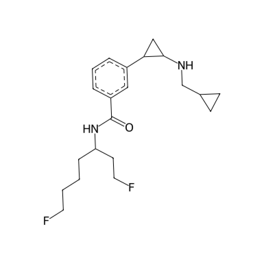 O=C(NC(CCF)CCCCF)c1cccc(C2CC2NCC2CC2)c1